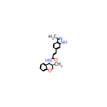 Cc1n[nH]c2cc(/C=C/C(=O)N[C@H]3c4ccccc4OC[C@@H]3C)ccc12